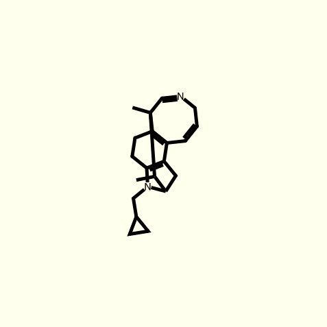 CC1C2CC3=C(CCC4=C3/C=C\C/N=C\C41C)N2CC1CC1